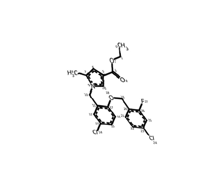 CCOC(=O)c1cc(C)n(Cc2cc(Cl)ccc2OCc2ccc(Cl)cc2F)c1